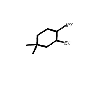 CCC1CC(C)(C)CCC1C(C)C